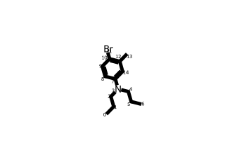 CCCN(CCC)c1ccc(Br)c(C)c1